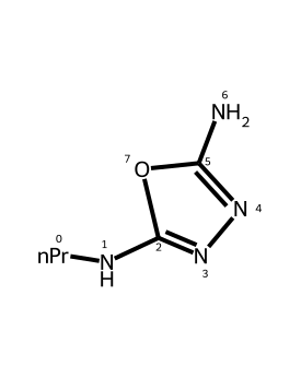 CCCNc1nnc(N)o1